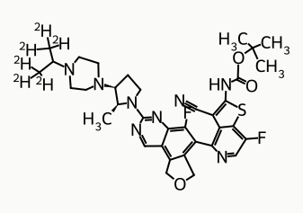 [2H]C([2H])([2H])C(N1CCN([C@H]2CCN(c3ncc4c5c(c(-c6ncc(F)c7sc(NC(=O)OC(C)(C)C)c(C#N)c67)c(F)c4n3)COC5)[C@H]2C)CC1)C([2H])([2H])[2H]